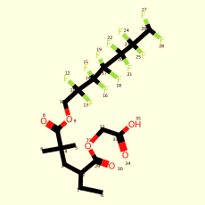 CCC(CC(C)(C)C(=O)OCC(F)(F)C(F)(F)C(F)(F)C(F)(F)C(F)(F)C(F)F)C(=O)OCC(=O)O